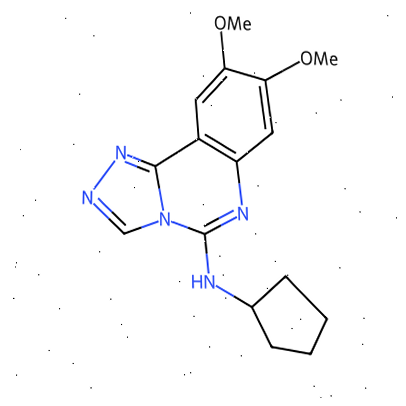 COc1cc2nc(NC3CCCC3)n3cnnc3c2cc1OC